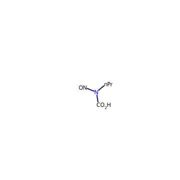 CCCN(N=O)C(=O)O